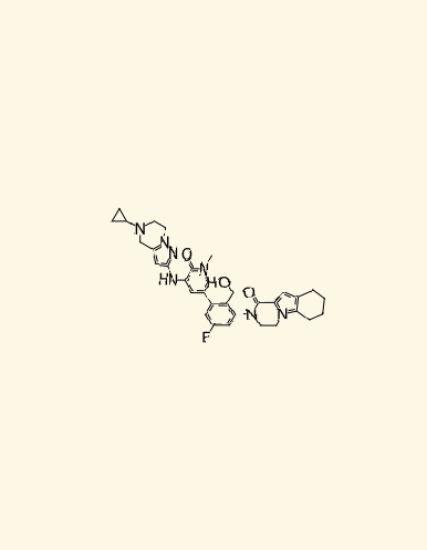 Cn1cc(-c2cc(F)cc(N3CCn4c(cc5c4CCCC5)C3=O)c2CO)cc(Nc2cc3n(n2)CCN(C2CC2)C3)c1=O